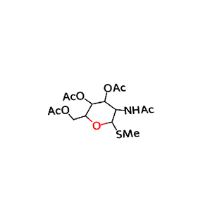 CSC1OC(COC(C)=O)C(OC(C)=O)C(OC(C)=O)C1NC(C)=O